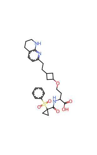 O=C(O)C(CCOC1CC(CCc2ccc3c(n2)NCCC3)C1)NC(=O)C1(S(=O)(=O)c2ccccc2)CC1